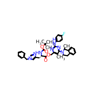 Cc1c(COC(=O)[C@H](Cc2cn(Cc3ccccc3)cn2)NC(=O)OC(C)(C)C)nc(Nc2ccc(F)cc2)nc1N1CCc2ccccc2C1C